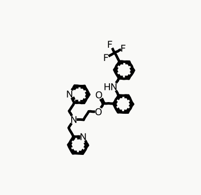 O=C(OCCN(Cc1ccccn1)Cc1ccccn1)c1ccccc1Nc1cccc(C(F)(F)F)c1